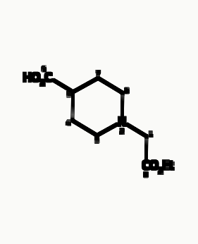 CCOC(=O)CN1CCC(C(=O)O)CC1